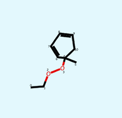 CCOOC1(C)C=CC=CC1